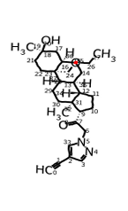 C#Cc1cnn(CC(=O)[C@H]2CC[C@H]3[C@@H]4CC[C@@H]5C[C@](C)(O)CC[C@]5(COCC)[C@H]4CC[C@]23C)c1